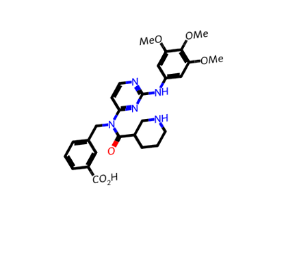 COc1cc(Nc2nccc(N(Cc3cccc(C(=O)O)c3)C(=O)C3CCCNC3)n2)cc(OC)c1OC